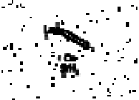 [Co].[La].[O]=[Zn].[SrH2]